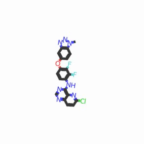 Cn1nnc2cc(Oc3ccc(Nc4ncnc5ccc(Cl)nc45)c(F)c3F)ccc21